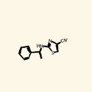 CC(Nc1nc(C#N)cs1)c1ccccc1